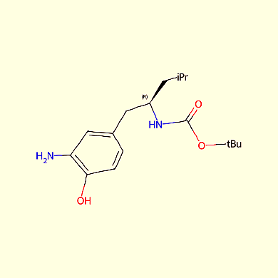 CC(C)C[C@H](Cc1ccc(O)c(N)c1)NC(=O)OC(C)(C)C